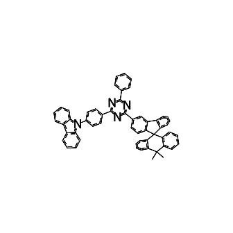 CC1(C)c2ccccc2C2(c3ccccc3-c3cc(-c4nc(-c5ccccc5)nc(-c5ccc(-n6c7ccccc7c7ccccc76)cc5)n4)ccc32)c2ccccc21